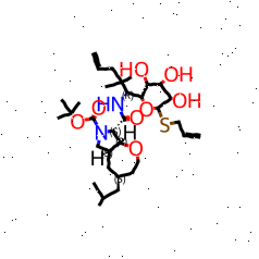 C=CCSC1OC([C@H](NC(=O)[C@@H]2[C@@H]3OCC[C@@H](CC(C)C)C[C@H]3CN2C(=O)OC(C)(C)C)C(C)(C)CC=C)C(O)C(O)C1O